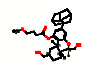 C[C@@]1(CO)Oc2cc(C34CC5CC(CC(C5)C3)C4)cc(OC(=O)CCCO[N+](=O)[O-])c2[C@@H]2C[C@H](CO)CC[C@H]21